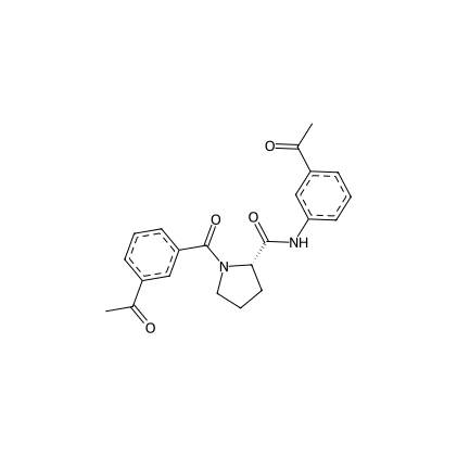 CC(=O)c1cccc(NC(=O)[C@@H]2CCCN2C(=O)c2cccc(C(C)=O)c2)c1